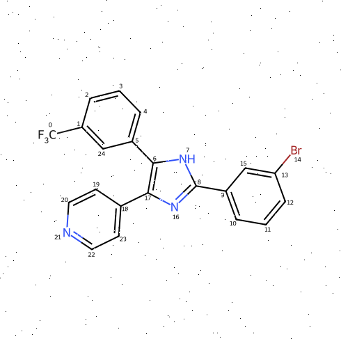 FC(F)(F)c1cccc(-c2[nH]c(-c3cccc(Br)c3)nc2-c2ccncc2)c1